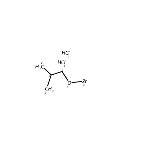 CC(C)C[O][Zr].Cl.Cl